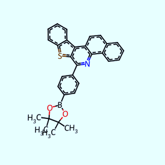 CC1(C)OB(c2ccc(-c3nc4c5ccccc5ccc4c4c3sc3ccccc34)cc2)OC1(C)C